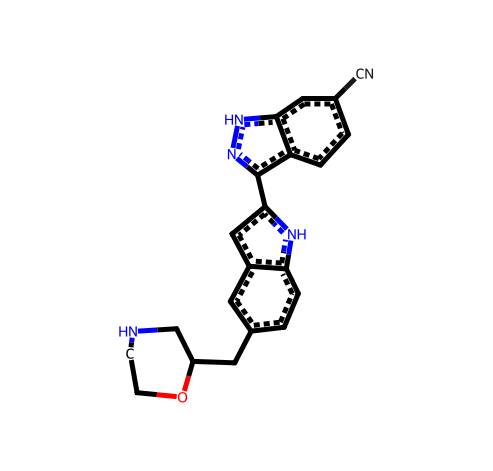 N#Cc1ccc2c(-c3cc4cc(CC5CNCCO5)ccc4[nH]3)n[nH]c2c1